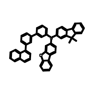 CC1(C)c2ccccc2-c2ccc(N(c3cccc(-c4cccc(-c5cccc6ccccc56)c4)c3)c3ccc4c(c3)oc3ccccc34)cc21